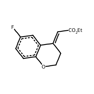 CCOC(=O)C=C1CCOc2ccc(F)cc21